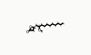 CCCCCCCCCC(C[C@H]1CC(=O)O1)OC